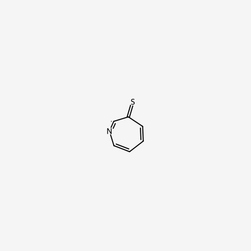 S=c1[c]ncccc1